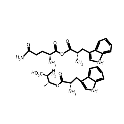 C[C@@H](OC(=O)[C@@H](N)Cc1c[nH]c2ccccc12)[C@H](N)C(=O)O.NC(=O)CC[C@H](N)C(=O)OC(=O)[C@@H](N)Cc1c[nH]c2ccccc12